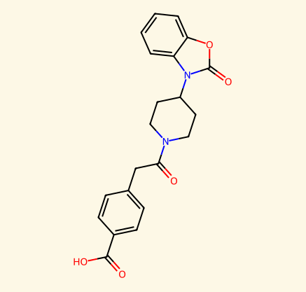 O=C(O)c1ccc(CC(=O)N2CCC(n3c(=O)oc4ccccc43)CC2)cc1